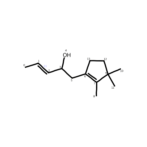 C/C=C/C(O)CC1=C(C)C(C)(C)CC1